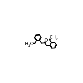 C=Cc1ccccc1CC(=O)Cc1ccccc1C=C